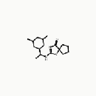 CC1CC(C)CC(C(C)NC2=NC(=O)C3(CCCC3)S2)C1